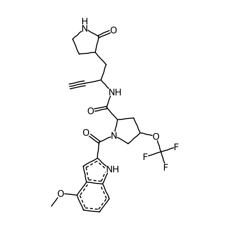 C#CC(CC1CCNC1=O)NC(=O)C1CC(OC(F)(F)F)CN1C(=O)c1cc2c(OC)cccc2[nH]1